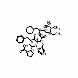 CC[C@@H](C[C@@H](O)[C@H](CC1CCCCC1)NC(=O)[C@H](Cc1c[nH]cn1)NC(=O)[C@H](CC(=O)[C@@H]1CCCN1C(=O)O)Cc1ccccc1)C(C)C